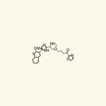 COc1nc2ccccc2cc1-c1cnc(C(N)COCCCC(=O)c2ncco2)[nH]1